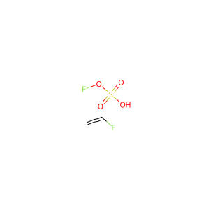 C=CF.O=S(=O)(O)OF